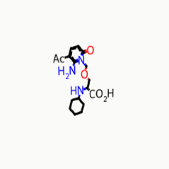 CC(=O)c1ccc(=O)n(COCC(NC2CCCCC2)C(=O)O)c1N